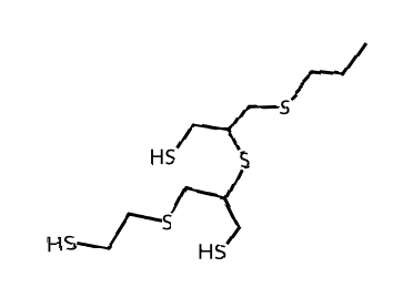 CCCSCC(CS)SC(CS)CSCCS